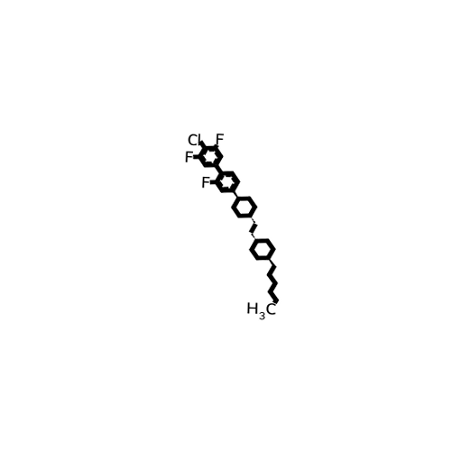 CCCCCC[C@H]1CC[C@H](CC[C@H]2CC[C@H](c3ccc(-c4cc(F)c(Cl)c(F)c4)c(F)c3)CC2)CC1